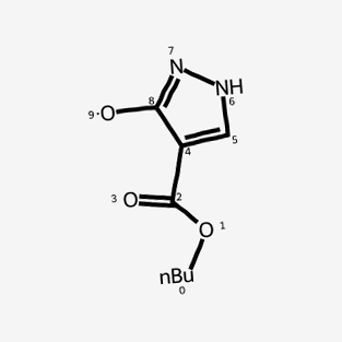 CCCCOC(=O)c1c[nH]nc1[O]